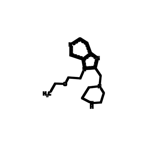 CCOCCn1c(CN2CCNCC2)nc2ccncc21